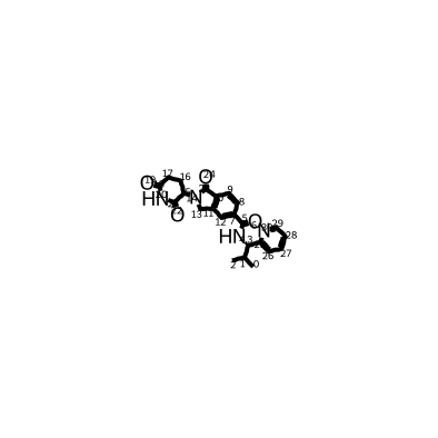 CC(C)[C@@H](NC(=O)c1ccc2c(c1)CN(C1CCC(=O)NC1=O)C2=O)c1ccccn1